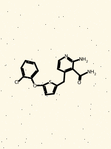 NC(=O)c1c(Cc2ccc(Oc3ccccc3Cl)s2)ccnc1N